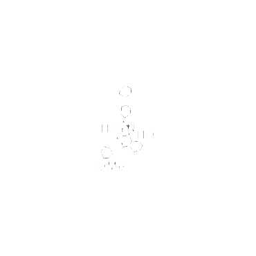 COc1ccc(C[n+]2cc3ccccc3c3nn(-c4ccc(-c5ccccc5)cc4)c(O)c32)cc1.[OH-]